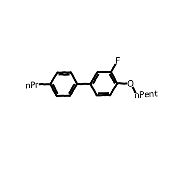 CCCCCOc1ccc(-c2ccc(CCC)cc2)cc1F